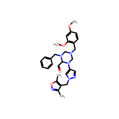 COc1ccc(CN2CN(Cc3ccccc3)C(C=O)N(c3cnn(Cc4c(C)noc4C)c3)C2)c(OC)c1